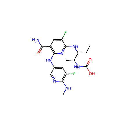 CC[C@@H](Nc1nc(Nc2cnc(NC)c(F)c2)c(C(N)=O)cc1F)[C@H](C)NC(=O)O